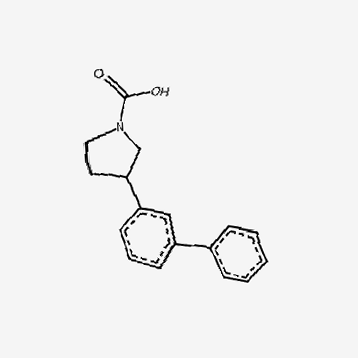 O=C(O)N1CCC(c2cccc(-c3ccccc3)c2)C1